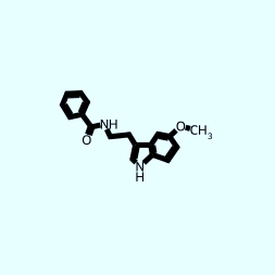 COc1ccc2[nH]cc(CCNC(=O)c3ccccc3)c2c1